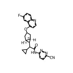 N#Cc1ccc(NC(=O)C(C2CC2)C2[C@H]3CC(Oc4ccnc5ccc(F)cc45)C[C@@H]23)nn1